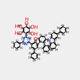 Oc1c(O)c(O)c(-c2nc(-c3ccccc3)nc(-c3cc(-c4ccccc4)cc4c3oc3ccc(-n5c6ccccc6c6cc(-c7ccccc7)ccc65)c(-c5ccccc5)c34)n2)c(O)c1O